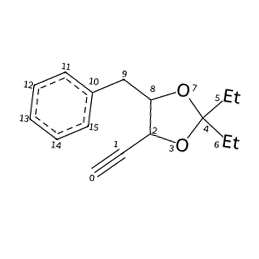 C#CC1OC(CC)(CC)OC1Cc1ccccc1